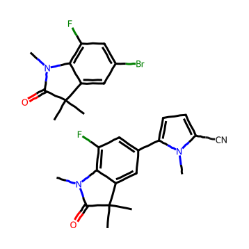 CN1C(=O)C(C)(C)c2cc(-c3ccc(C#N)n3C)cc(F)c21.CN1C(=O)C(C)(C)c2cc(Br)cc(F)c21